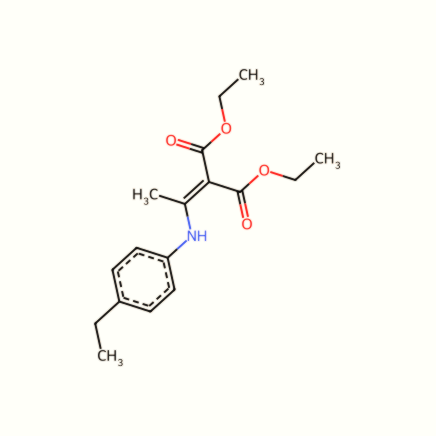 CCOC(=O)C(C(=O)OCC)=C(C)Nc1ccc(CC)cc1